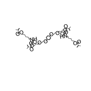 C=C(C)C(=O)OCCCCCNC(=O)OC(COCCOc1ccc(OCCOCC(COC(=O)C(=C)C)OC(=O)NCCCCCOC(=O)C(=C)C)cc1)COC(=O)C(=C)C